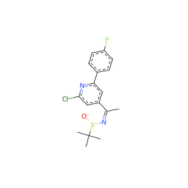 C/C(=N/[S@@+]([O-])C(C)(C)C)c1cc(Cl)nc(-c2ccc(F)cc2)c1